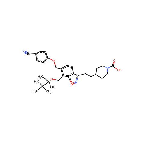 CC(C)(C)[Si](C)(C)OCc1c(COc2ccc(C#N)cc2)ccc2c(CCC3CCN(C(=O)O)CC3)noc12